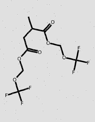 CC(CC(=O)OCOC(F)(F)F)C(=O)OCOC(F)(F)F